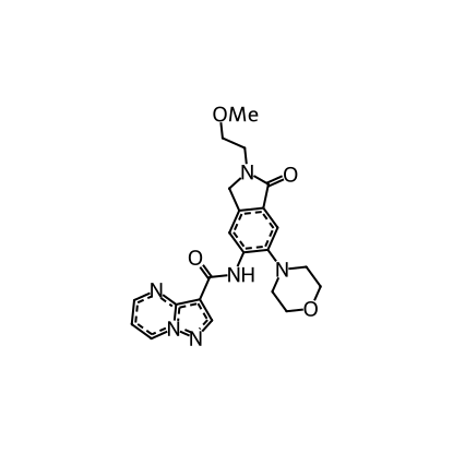 COCCN1Cc2cc(NC(=O)c3cnn4cccnc34)c(N3CCOCC3)cc2C1=O